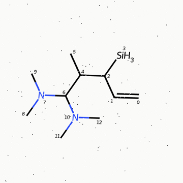 C=CC([SiH3])C(C)C(N(C)C)N(C)C